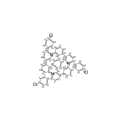 Clc1ccc(-c2ccc(-c3ccccc3-c3cc(-c4ccccc4-c4ccc(-c5ccc(Cl)cc5)nc4)cc(-c4ccccc4-c4ccc(-c5ccc(Cl)cc5)nc4)c3)cn2)cc1